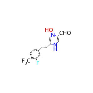 O=CC1=CNC(CCc2ccc(C(F)(F)F)c(F)c2)=CN1O